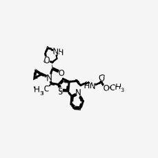 COC(=O)NCCCc1cc([C@@H](C)N(C(=O)[C@H]2CNCCO2)C2CC2)sc1-c1ccccn1